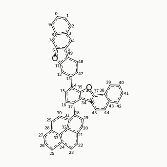 c1ccc2cc3c(cc2c1)oc1cc(-c2ccc(-c4ccc5ccc6cccc7ccc4c5c67)c4c2oc2c5ccccc5ccc24)ccc13